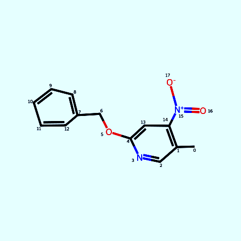 Cc1cnc(OCc2ccccc2)cc1[N+](=O)[O-]